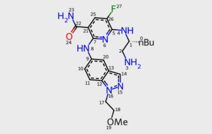 CCCC[C@H](CN)Nc1nc(Nc2ccc3c(cnn3CCOC)c2)c(C(N)=O)cc1F